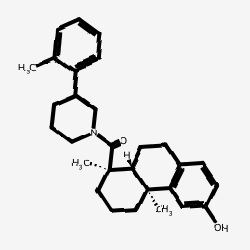 Cc1ccccc1C1CCCN(C(=O)[C@]2(C)CCC[C@]3(C)c4cc(O)ccc4CC[C@@H]23)C1